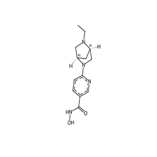 CCN1C[C@H]2C[C@@H]1CN2c1ccc(C(=O)NO)cn1